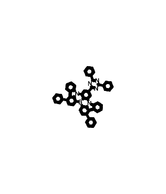 c1ccc(-c2nc(-c3ccccc3)nc(-c3cc4c5c(c3)-n3c6ccccc6c6c(-c7ccccc7)ccc(c63)B5c3ccc(-c5ccccc5)c5c6ccccc6n-4c35)n2)cc1